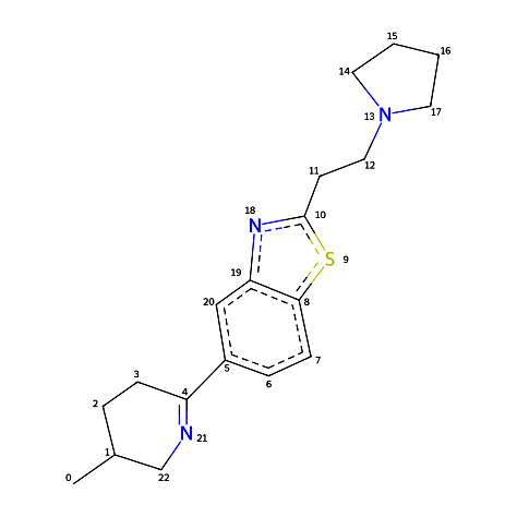 CC1CCC(c2ccc3sc(CCN4CCCC4)nc3c2)=NC1